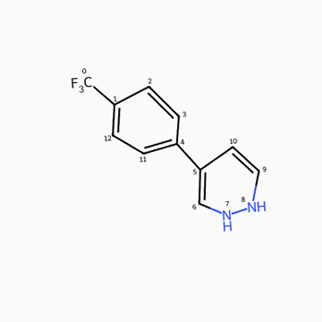 FC(F)(F)c1ccc(C2=CNNC=C2)cc1